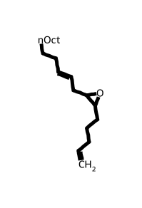 C=CCCCC1OC1CC=CCCCCCCCCCC